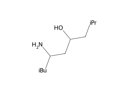 CCC(C)C(N)CC(O)CC(C)C